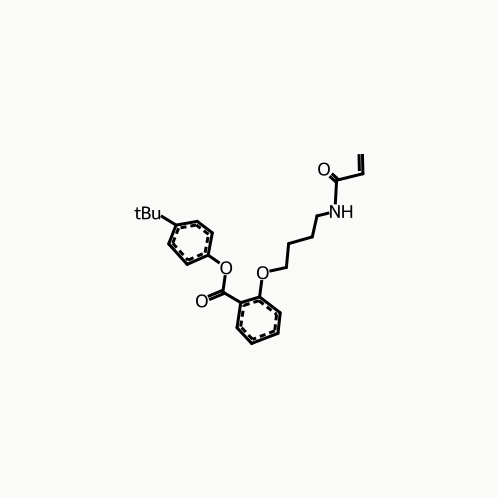 C=CC(=O)NCCCCOc1ccccc1C(=O)Oc1ccc(C(C)(C)C)cc1